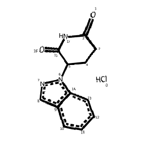 Cl.O=C1CCC(n2ncc3ccccc32)C(=O)N1